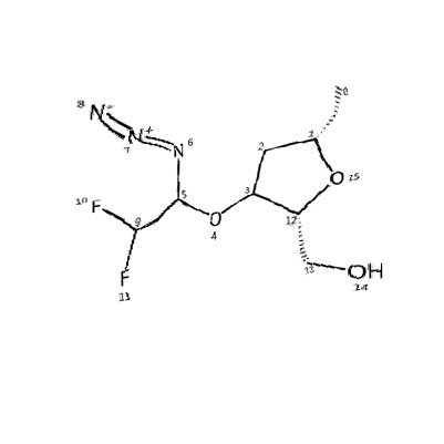 C[C@H]1CC(OC(N=[N+]=[N-])C(F)F)[C@@H](CO)O1